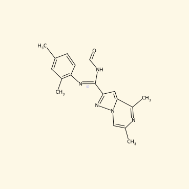 Cc1ccc(/N=C(\NC=O)c2cc3c(C)nc(C)cn3n2)c(C)c1